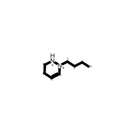 CCCCN1C=CCCN1